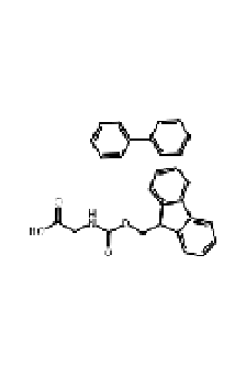 O=C(O)CNC(=O)OCC1c2ccccc2-c2ccccc21.c1ccc(-c2ccccc2)cc1